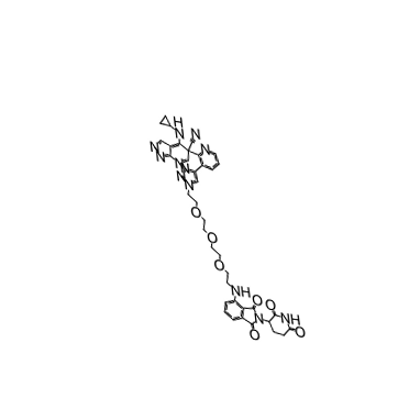 N#CC1(c2ncccc2-c2cn(CCOCCOCCOCCNc3cccc4c3C(=O)N(C3CCC(=O)NC3=O)C4=O)nn2)C=NC2=NN=CC2=C1NC1CC1